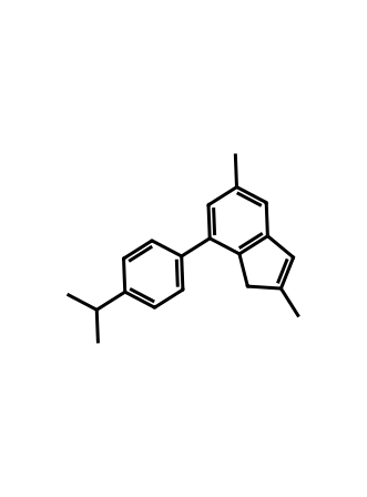 CC1=Cc2cc(C)cc(-c3ccc(C(C)C)cc3)c2C1